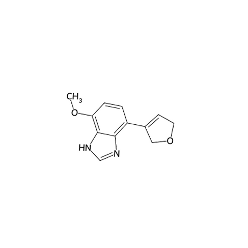 COc1ccc(C2=CCOC2)c2nc[nH]c12